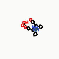 COc1ccc(-c2cc(-c3ccccc3)n(B(F)F)c2/N=C2\NC(c3ccccc3)C=C2c2ccc(OCC(=O)O)cc2)cc1